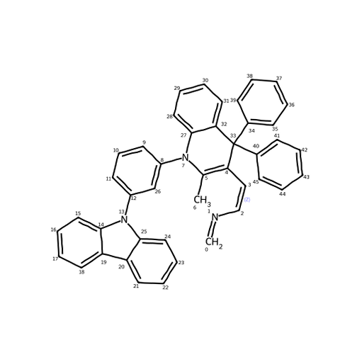 C=N/C=C\C1=C(C)N(c2cccc(-n3c4ccccc4c4ccccc43)c2)c2ccccc2C1(c1ccccc1)c1ccccc1